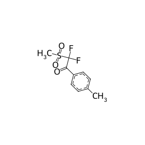 Cc1ccc(C(=O)C(F)(F)S(C)(=O)=O)cc1